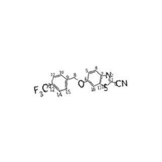 N#Cc1nc2ccc(OCc3ccc(C(F)(F)F)cc3)cc2s1